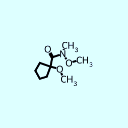 CON(C)C(=O)C1(OC)CCCC1